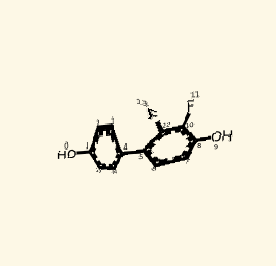 Oc1ccc(-c2ccc(O)c(F)c2F)cc1